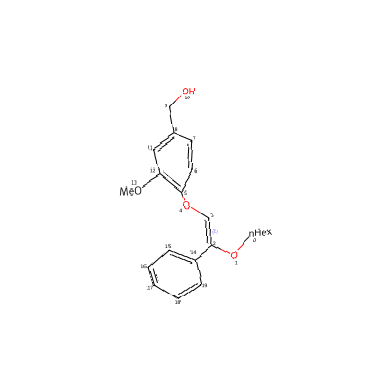 CCCCCCO/C(=C/Oc1ccc(CO)cc1OC)c1ccccc1